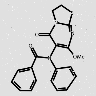 COc1nc2n(c(=O)c1N(C(=O)c1ccccc1)c1ccccc1)CCS2